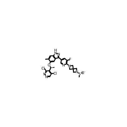 Cc1cc2[nH]nc(-c3cnc(N4CC5(C4)CN([S+](C)[O-])C5)c(F)c3)c2cc1O[C@@H](C)c1c(Cl)cnnc1Cl